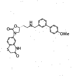 COc1ccc(-c2cccc(CNCC[C@@H]3CN(c4ccc5c(c4)NC(=O)CS5)C(=O)O3)c2)cc1